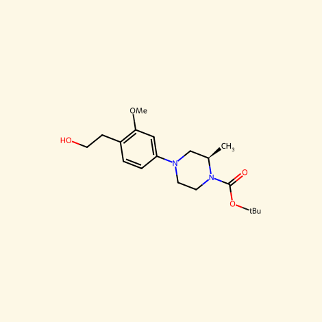 COc1cc(N2CCN(C(=O)OC(C)(C)C)[C@H](C)C2)ccc1CCO